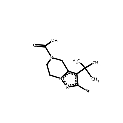 CC(C)(C)c1c(Br)nn2c1CN(C(=O)O)CC2